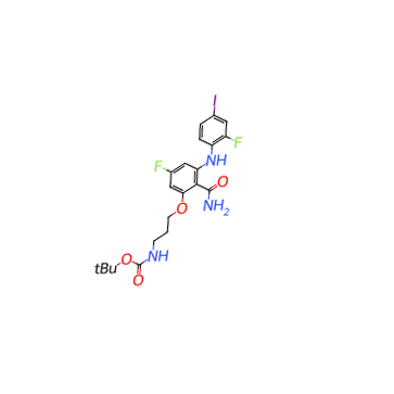 CC(C)(C)OC(=O)NCCCOc1cc(F)cc(Nc2ccc(I)cc2F)c1C(N)=O